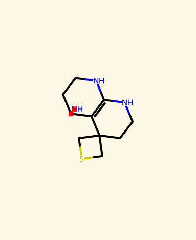 C1CC2(CSC2)C2=C(N1)NCCC21CCN1